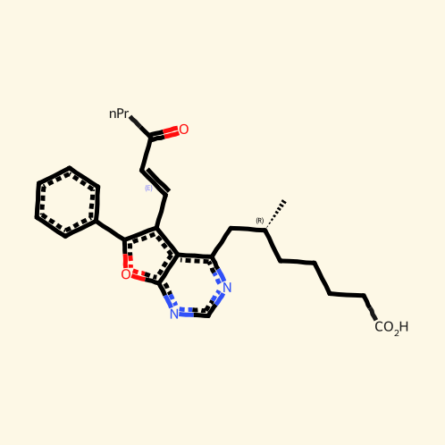 CCCC(=O)/C=C/c1c(-c2ccccc2)oc2ncnc(C[C@H](C)CCCCC(=O)O)c12